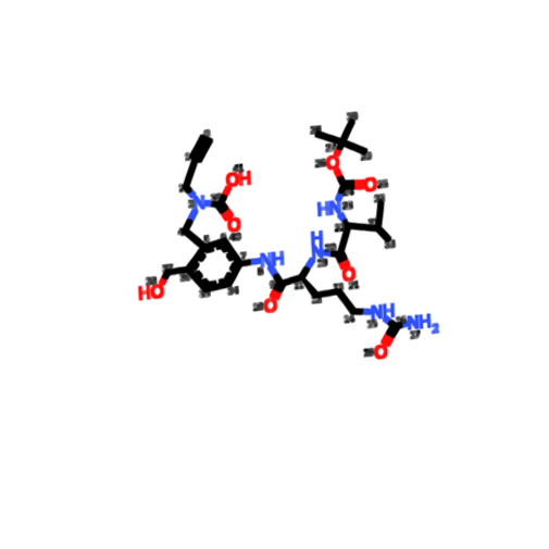 C#CCN(Cc1cc(NC(=O)[C@H](CCCNC(N)=O)NC(=O)[C@@H](NC(=O)OC(C)(C)C)C(C)C)ccc1CO)C(=O)O